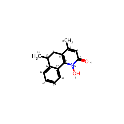 Cc1cc(=O)n(O)c2c1CC(C)c1ccccc1-2